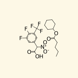 CCCCC(=O)OC1CCCCC1.O=C(O)C(c1cc(F)c(F)c(C(F)(F)F)c1)[N+](=O)[O-]